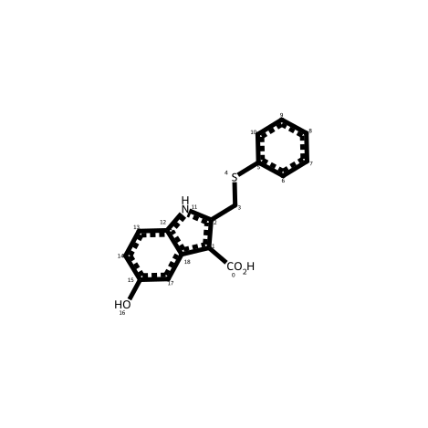 O=C(O)c1c(CSc2ccccc2)[nH]c2ccc(O)cc12